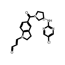 O=CC=CN1CCc2cc(C(=O)N3CC[C@H](Nc4ncc(Cl)cn4)C3)ccc21